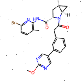 COc1ncc(-c2cccc(CC(=O)N3[C@H](C(=O)Nc4nc(Br)ccc4C)C[C@@]4(C)C[C@@H]34)c2)cn1